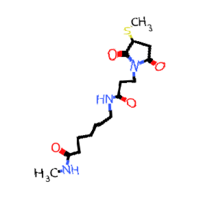 CNC(=O)CCCCCNC(=O)CCN1C(=O)CC(SC)C1=O